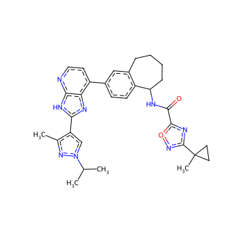 Cc1nn(C(C)C)cc1-c1nc2c(-c3ccc4c(c3)CCCCC4NC(=O)c3nc(C4(C)CC4)no3)ccnc2[nH]1